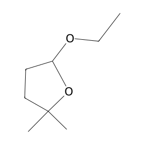 CCOC1CCC(C)(C)O1